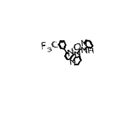 O=C(Nc1ccccn1)N1c2nc(-c3cccc(C(F)(F)F)c3)ccc2N2CCCC1C2